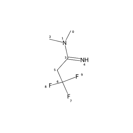 CN(C)C(=N)CC(F)(F)F